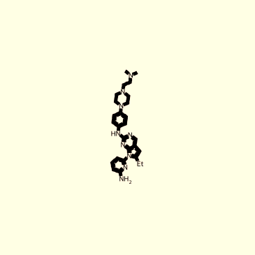 CCc1cc2cnc(Nc3ccc(N4CCN(CCN(C)C)CC4)cc3)nc2n1-c1cccc(N)n1